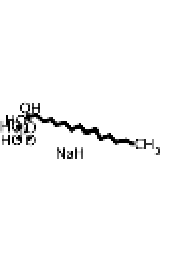 CCCCCCCCCCCCCCCC(O)(O)OP(=O)(O)O.[NaH]